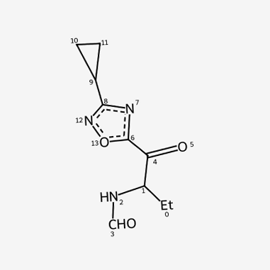 CCC(NC=O)C(=O)c1nc(C2CC2)no1